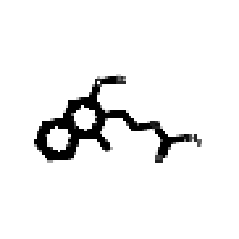 CCOc1cc2ccccc2c(C)c1CCOC(N)=O